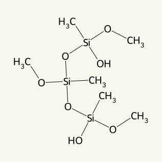 CO[Si](C)(O)O[Si](C)(OC)O[Si](C)(O)OC